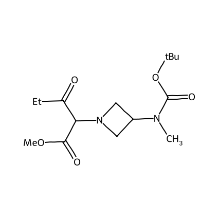 CCC(=O)C(C(=O)OC)N1CC(N(C)C(=O)OC(C)(C)C)C1